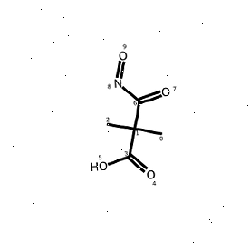 CC(C)(C(=O)O)C(=O)N=O